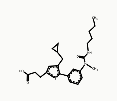 CCCCCNC(=O)N(C)c1cccc(-c2sc(CCC(=O)O)cc2CC2CC2)c1